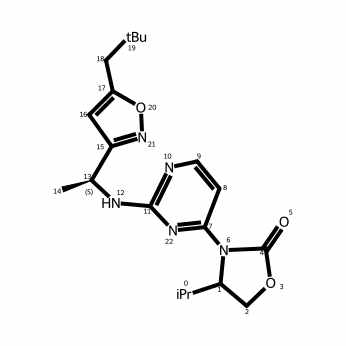 CC(C)C1COC(=O)N1c1ccnc(N[C@@H](C)c2cc(CC(C)(C)C)on2)n1